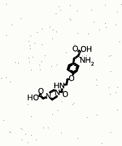 N[C@H](Cc1ccc(OCCNC(=O)N2CCN(CC(=O)O)CC2)cc1)C(=O)O